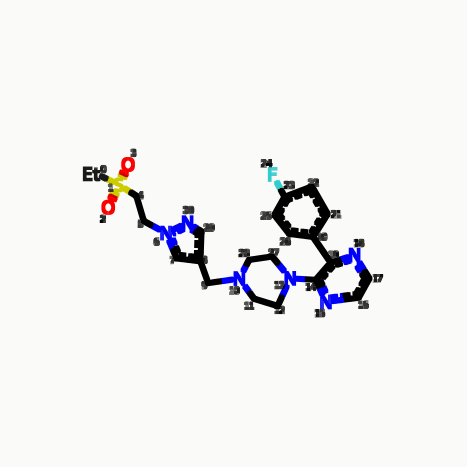 CCS(=O)(=O)CCn1cc(CN2CCN(c3nccnc3-c3ccc(F)cc3)CC2)cn1